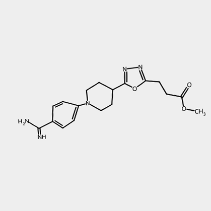 COC(=O)CCc1nnc(C2CCN(c3ccc(C(=N)N)cc3)CC2)o1